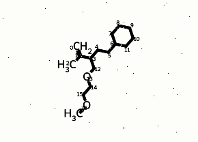 C=C(C)C(CCC1CCCCC1)COCCOC